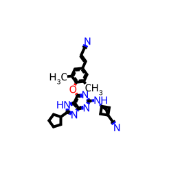 Cc1cc(/C=C/C#N)cc(C)c1Oc1nc(NC23CC(C#N)(C2)C3)nc2nc(C3CCCC3)[nH]c12